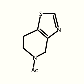 CC(=O)N1CCc2scnc2C1